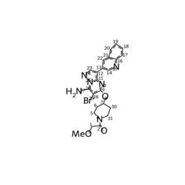 COCC(=O)N1CCC(Oc2nc3c(-c4cnc5ccccc5c4)cnn3c(N)c2Br)CC1